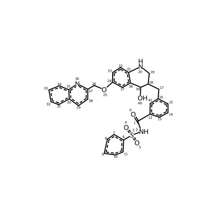 O=C(NS(=O)(=O)c1ccccc1)c1cccc(CC2CNc3ccc(OCc4ccc5ccccc5n4)cc3C2O)c1